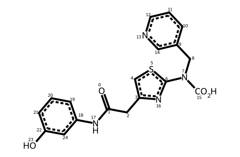 O=C(Cc1csc(N(Cc2cccnc2)C(=O)O)n1)Nc1cccc(O)c1